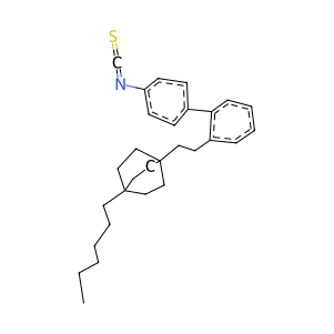 CCCCCCC12CCC(CCc3ccccc3-c3ccc(N=C=S)cc3)(CC1)CC2